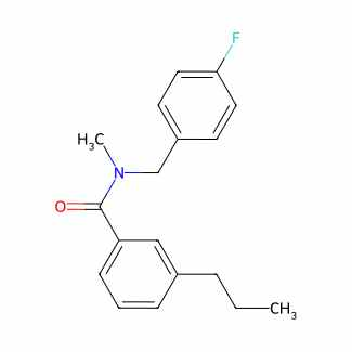 CCCc1cccc(C(=O)N(C)Cc2ccc(F)cc2)c1